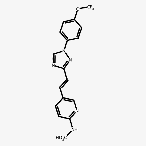 O=C(O)Nc1ccc(C=Cc2ncn(-c3ccc(OC(F)(F)F)cc3)n2)cn1